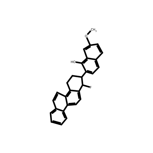 COc1ccc2ccc(C3CCc4c(ccc5c4ccc4ccccc45)C3F)c(O)c2c1